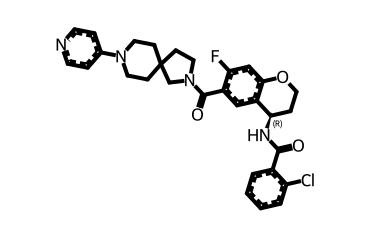 O=C(N[C@@H]1CCOc2cc(F)c(C(=O)N3CCC4(CCN(c5ccncc5)CC4)C3)cc21)c1ccccc1Cl